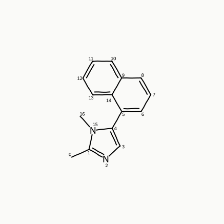 Cc1ncc(-c2cccc3ccccc23)n1C